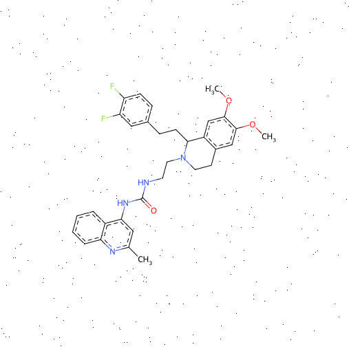 COc1cc2c(cc1OC)C(CCc1ccc(F)c(F)c1)N(CCNC(=O)Nc1cc(C)nc3ccccc13)CC2